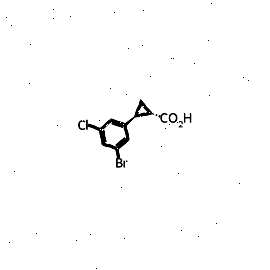 O=C(O)[C@H]1C[C@@H]1c1cc(Cl)cc(Br)c1